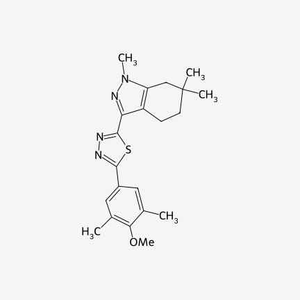 COc1c(C)cc(-c2nnc(-c3nn(C)c4c3CCC(C)(C)C4)s2)cc1C